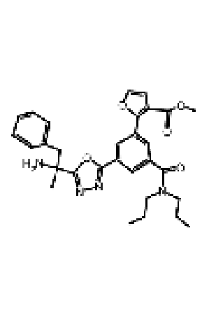 CCCN(CCC)C(=O)c1cc(-c2nnc([C@](C)(N)Cc3ccccc3)o2)cc(-c2occc2C(=O)OC)c1